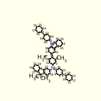 Cc1cc(N(c2ccc(-c3ccccc3)cc2)c2ccc3c(c2)-c2ccccc2C3(C)C)cc(C)c1-c1ccc2c(c1)c1ccccc1n2-c1ccc(-c2ccccc2)cc1